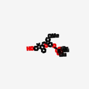 COc1ccc(C2(c3ccc(OCCO[Si](OC(C)(C)C)(OC(C)(C)C)OC(C)(C)C)cc3)C=Cc3c4c(c5ccccc5c3O2)-c2ccc(O)cc2C4(C)C)cc1